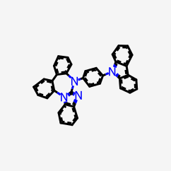 c1ccc2c(c1)-c1ccccc1-n1c(nc3ccccc31)N2c1ccc(-n2c3ccccc3c3ccccc32)cc1